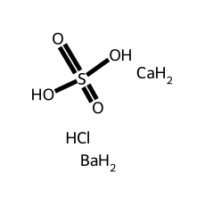 Cl.O=S(=O)(O)O.[BaH2].[CaH2]